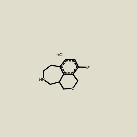 Brc1ccc2c3c1COCC3CNCC2.Cl